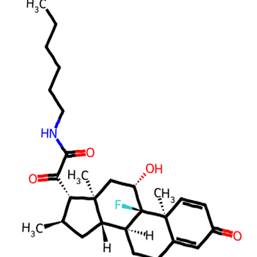 CCCCCCNC(=O)C(=O)[C@H]1[C@H](C)C[C@H]2[C@@H]3CCC4=CC(=O)C=C[C@]4(C)[C@@]3(F)[C@@H](O)C[C@@]21C